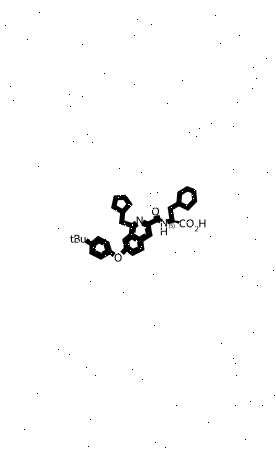 CC(C)(C)c1ccc(Oc2ccc3cc(C(=O)N[C@@H](CC4CCCCC4)C(=O)O)nc(CC4CCCC4)c3c2)cc1